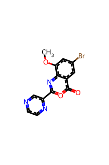 COc1cc(Br)cc2c(=O)oc(-c3cnccn3)nc12